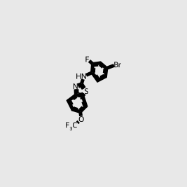 Fc1cc(Br)ccc1Nc1nc2ccc(OC(F)(F)F)cc2s1